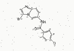 O=C(Nc1ccc2ncc(Br)n2c1)c1ccc(Cl)cc1